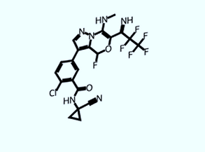 CNC1=C(C(=N)C(F)(F)C(F)(F)F)OC(F)c2c(-c3ccc(Cl)c(C(=O)NC4(C#N)CC4)c3)cnn21